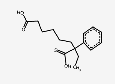 CCC(CCCCCC(=O)O)(C(O)=S)c1ccccc1